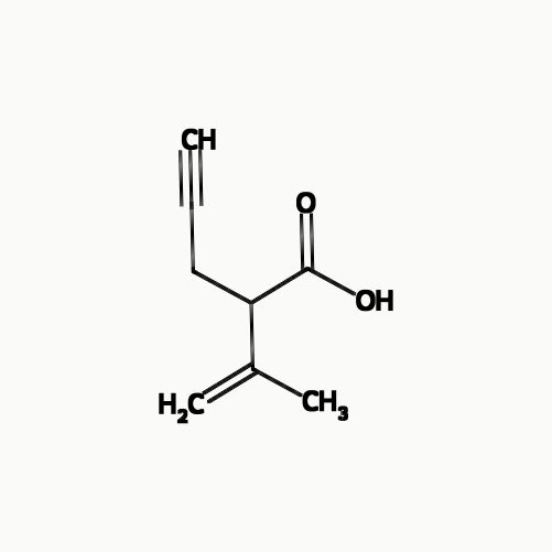 C#CCC(C(=C)C)C(=O)O